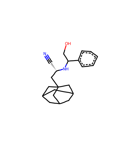 N#C[C@@H](CC12CC3CC(CC(C3)C1)C2)NC(CO)c1ccccc1